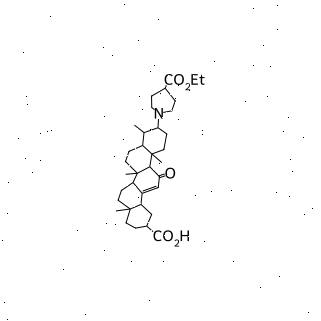 CCOC(=O)C1CCN(C2CCC3(C)C(CCC4(C)C5CCC6(C)CCC(C(=O)O)CC6C5=CC(=O)C43)C2C)CC1